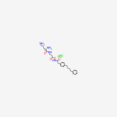 Cl.Cl.NCCC[C@H](N)C(=O)NCCC(=O)ONC(=O)Cc1ccc(CCCCc2ccccc2)cc1